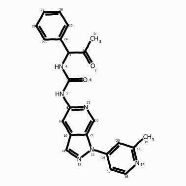 CC(=O)C(NC(=O)Nc1cc2cnn(-c3ccnc(C)c3)c2cn1)c1ccccc1